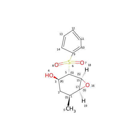 C[C@H]1C[C@@H](O)[C@H](S(=O)(=O)c2ccccc2)[C@H]2O[C@H]21